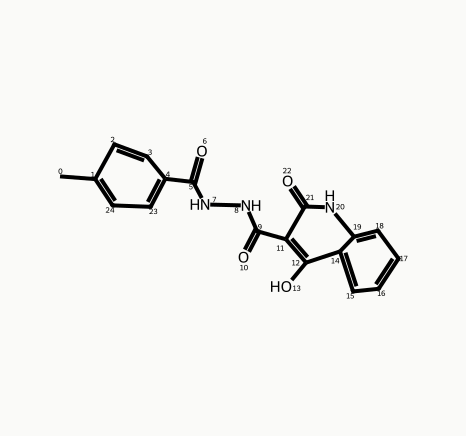 Cc1ccc(C(=O)NNC(=O)c2c(O)c3ccccc3[nH]c2=O)cc1